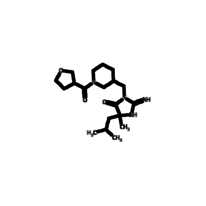 CC(C)CC1(C)NC(=N)N(CC2CCCN(C(=O)C3CCOC3)C2)C1=O